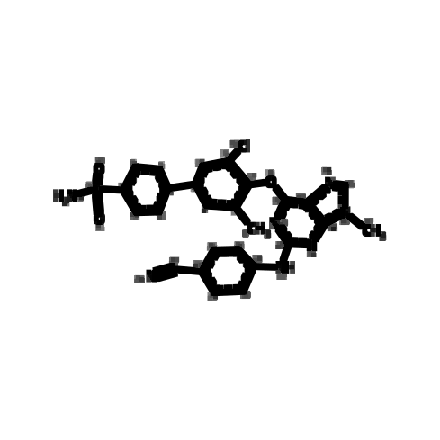 Cc1cc(-c2ccc(S(N)(=O)=O)cc2)cc(Cl)c1Oc1nc(Nc2ccc(C#N)cc2)nc2c1ncn2C